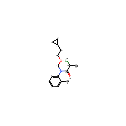 CCc1ccccc1N(COCCC1CC1)C(=O)C(Cl)CC